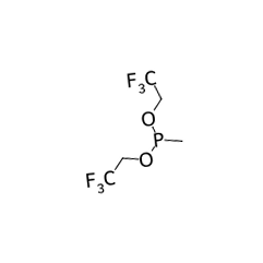 CP(OCC(F)(F)F)OCC(F)(F)F